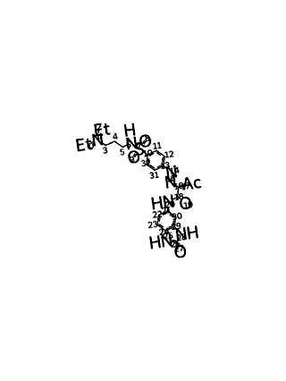 CCN(CC)CCCNS(=O)(=O)c1ccc(N=NC(C(C)=O)C(=O)Nc2ccc3[nH]c(=O)[nH]c3c2)cc1